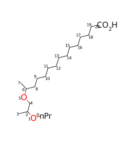 C[CH]COC(C)COC(C)CCCCCCCCCCCCC(=O)O